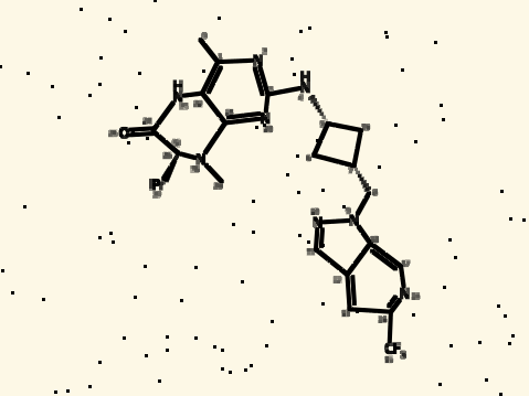 Cc1nc(N[C@H]2C[C@@H](Cn3ncc4cc(C(F)(F)F)ncc43)C2)nc2c1NC(=O)[C@H](C(C)C)N2C